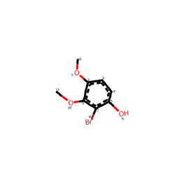 COc1ccc(O)c(Br)c1OC